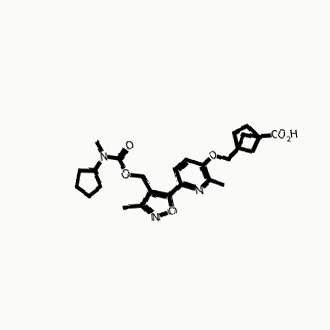 Cc1nc(-c2onc(C)c2COC(=O)N(C)C2CCCC2)ccc1OCC12CCC(C(=O)O)(C1)C2